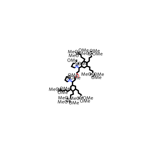 CO[Si](CCCC1CC(C(CCOCCC(C2CC(CCC[Si](OC)(OC)OC)C(CCC[Si](OC)(OC)OC)C(CCC[Si](OC)(OC)OC)C2)N2CCC[Si]2(OC)OC)N2CCC[Si]2(OC)OC)CC(CCC[Si](OC)(OC)OC)C1CCC[Si](OC)(OC)OC)(OC)OC